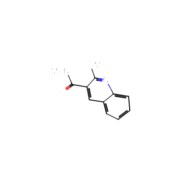 CNC(=O)c1cc2ccccc2nc1OC